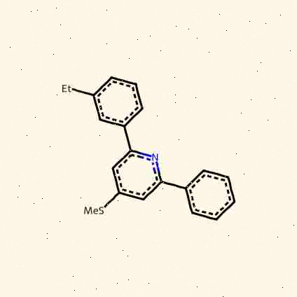 CCc1cccc(-c2cc(SC)cc(-c3ccccc3)n2)c1